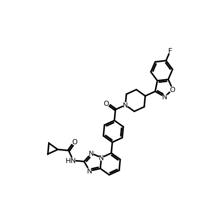 O=C(Nc1nc2cccc(-c3ccc(C(=O)N4CCC(c5noc6cc(F)ccc56)CC4)cc3)n2n1)C1CC1